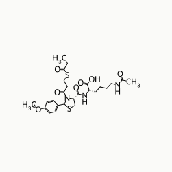 CCC(=O)SCCC(=O)N1C(c2ccc(OC)cc2)SC[C@H]1C(=O)N[C@@H](CCCCNC(C)=O)C(=O)O